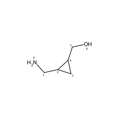 NCC1CC1CO